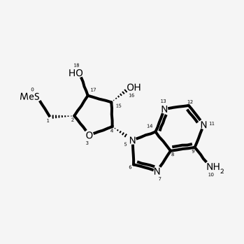 CSC[C@H]1O[C@@H](n2cnc3c(N)ncnc32)[C@@H](O)C1O